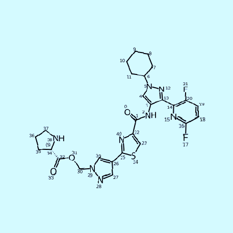 O=C(Nc1cn(C2CCCCC2)nc1-c1nc(F)ccc1F)c1csc(-c2cnn(COC(=O)[C@@H]3CCCN3)c2)n1